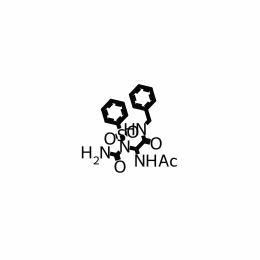 CC(=O)NC(C(=O)NCc1ccccc1)N(C(N)=O)S(=O)(=O)c1ccccc1